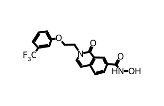 O=C(NO)c1ccc2ccn(CCOc3cccc(C(F)(F)F)c3)c(=O)c2c1